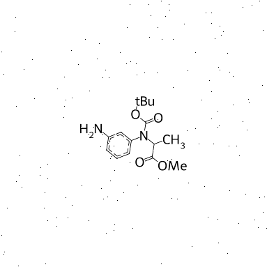 COC(=O)C(C)N(C(=O)OC(C)(C)C)c1cccc(N)c1